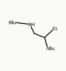 CCCCC(CC)CNC(C)(C)C